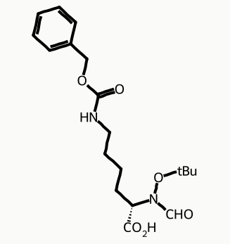 CC(C)(C)ON(C=O)[C@@H](CCCCNC(=O)OCc1ccccc1)C(=O)O